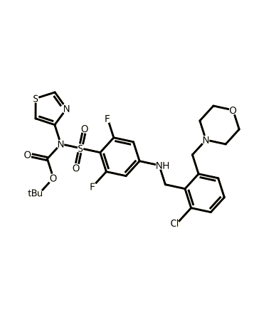 CC(C)(C)OC(=O)N(c1cscn1)S(=O)(=O)c1c(F)cc(NCc2c(Cl)cccc2CN2CCOCC2)cc1F